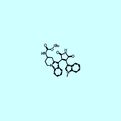 Cn1cc(C2=C(c3c4n(c5ccccc35)CCC(NC(=O)OC(C)(C)C)C4)C(=O)NC2=O)c2ccccc21